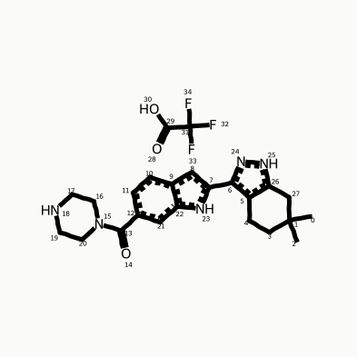 CC1(C)CCc2c(-c3cc4ccc(C(=O)N5CCNCC5)cc4[nH]3)n[nH]c2C1.O=C(O)C(F)(F)F